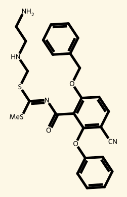 CS/C(=N\C(=O)c1c(OCc2ccccc2)ccc(C#N)c1Oc1ccccc1)SCNCCN